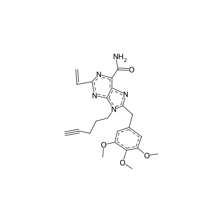 C#CCCCn1c(Cc2cc(OC)c(OC)c(OC)c2)nc2c(C(N)=O)nc(C=C)nc21